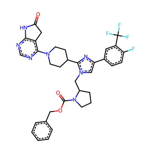 O=C1Cc2c(ncnc2N2CCC(c3nc(-c4ccc(F)c(C(F)(F)F)c4)cn3CC3CCCN3C(=O)OCc3ccccc3)CC2)N1